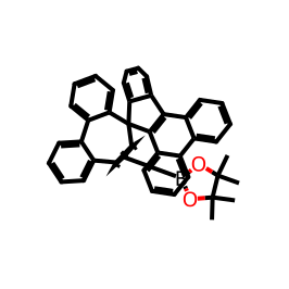 CC1(C)OB(c2ccc3c(c2)C2(c4ccccc4-c4ccccc4-3)c3ccccc3-c3c2c2ccccc2c2ccccc32)OC1(C)C